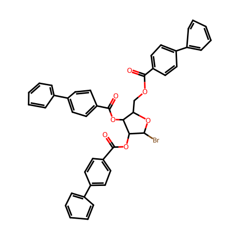 O=C(OCC1OC(Br)C(OC(=O)c2ccc(-c3ccccc3)cc2)C1OC(=O)c1ccc(-c2ccccc2)cc1)c1ccc(-c2ccccc2)cc1